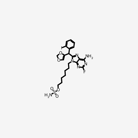 Nc1nc(F)nc2c1nc(C(C1=COCO1)c1ccccc1I)n2CCCCCCCOS(N)(=O)=O